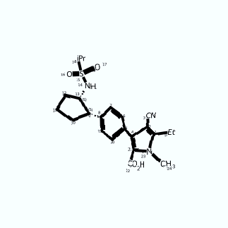 CCc1c(C#N)c(-c2ccc([C@@H]3CCC[C@@H]3NS(=O)(=O)C(C)C)cc2)c(C(=O)O)n1C